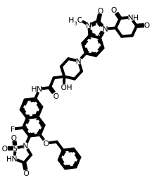 Cn1c(=O)n(C2CCC(=O)NC2=O)c2ccc(N3CCC(O)(CC(=O)Nc4ccc5c(F)c(N6CC(=O)NS6(=O)=O)c(OCc6ccccc6)cc5c4)CC3)cc21